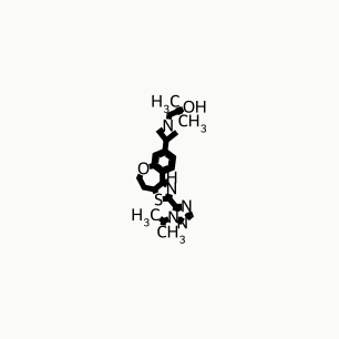 CC(C)n1ncnc1C1=N[C@H]2c3ccc(C4CN(CC(C)(C)O)C4)cc3OCCC2S1